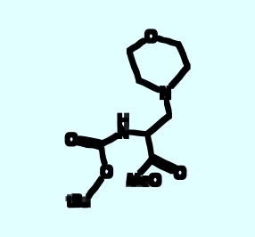 COC(=O)C(CN1CCOCC1)NC(=O)OC(C)(C)C